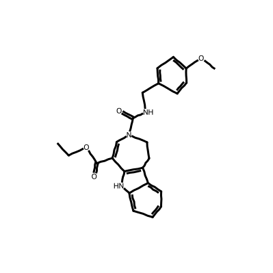 CCOC(=O)C1=CN(C(=O)NCc2ccc(OC)cc2)CCc2c1[nH]c1ccccc21